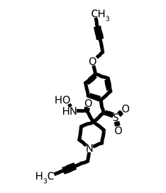 CC#CCOc1ccc(C(=S(=O)=O)C2(C(=O)NO)CCN(CC#CC)CC2)cc1